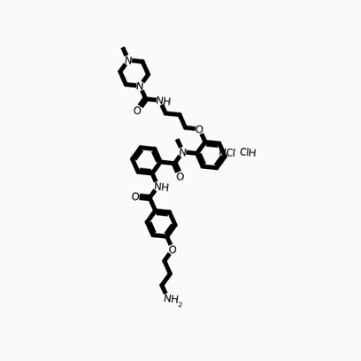 CN1CCN(C(=O)NCCCOc2ccccc2N(C)C(=O)c2ccccc2NC(=O)c2ccc(OCCCN)cc2)CC1.Cl.Cl